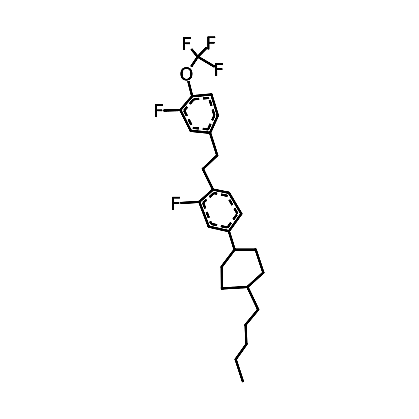 CCCCCC1CCC(c2ccc(CCc3ccc(OC(F)(F)F)c(F)c3)c(F)c2)CC1